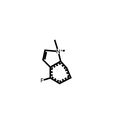 C[N+]1(C)C=Cc2c(F)cccc21